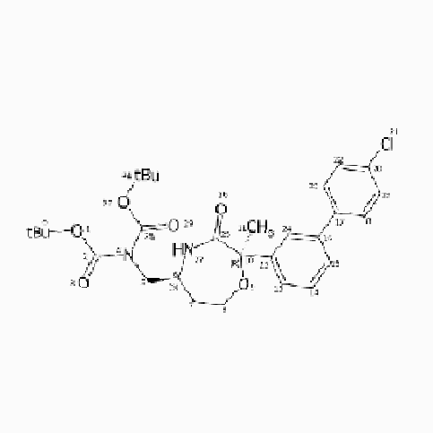 CC(C)(C)OC(=O)N(C[C@@H]1CCO[C@](C)(c2cccc(-c3ccc(Cl)cc3)c2)C(=O)N1)C(=O)OC(C)(C)C